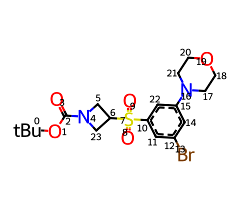 CC(C)(C)OC(=O)N1CC(S(=O)(=O)c2cc(Br)cc(N3CCOCC3)c2)C1